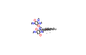 CCC[CH2][SnH].CCC[CH2][SnH].CCC[CH2][SnH].O=C1C=C(N2CC2)C(=O)C(N2CC2)=C1N1CC1.O=C1C=C(N2CC2)C(=O)C(N2CC2)=C1N1CC1